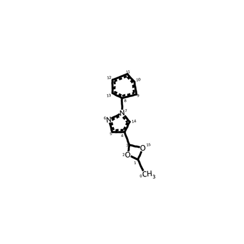 CC1OC(c2cnn(-c3ccccc3)c2)O1